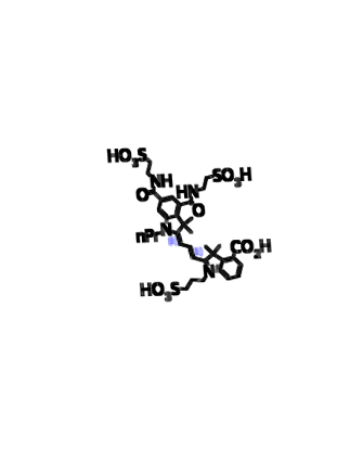 CCCN1/C(=C/C=C/C2=[N+](CCCS(=O)(=O)O)c3cccc(C(=O)O)c3C2(C)C)C(C)(C)c2c(C(=O)NCCS(=O)(=O)O)cc(C(=O)NCCS(=O)(=O)O)cc21